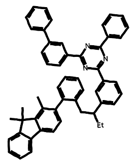 CCC(Cc1ccccc1-c1ccc2c(c1C)C(C)(C)c1ccccc1-2)c1cccc(-c2nc(-c3ccccc3)nc(-c3cccc(-c4ccccc4)c3)n2)c1